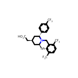 CCC[C@H]1C[C@@H](CC(=O)O)C[C@H](c2ccc(C(F)(F)F)cc2)N1Cc1cc(C(F)(F)F)ccc1C(F)(F)F